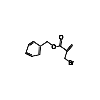 C=C(CBr)C(=O)OCc1ccccc1